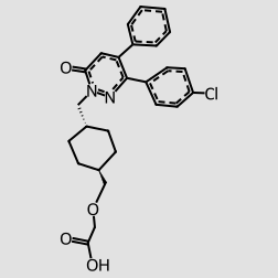 O=C(O)COC[C@H]1CC[C@H](Cn2nc(-c3ccc(Cl)cc3)c(-c3ccccc3)cc2=O)CC1